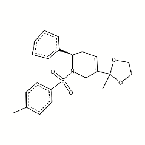 Cc1ccc(S(=O)(=O)N2CC(C3(C)OCCO3)=CC[C@@H]2c2ccccc2)cc1